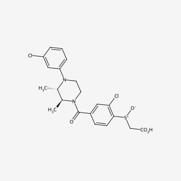 C[C@H]1[C@H](C)N(c2cccc(Cl)c2)CCN1C(=O)c1ccc([S+]([O-])CC(=O)O)c(Cl)c1